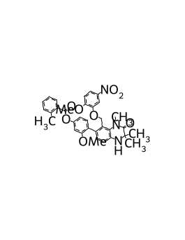 COc1ccc([N+](=O)[O-])cc1OCc1c(-c2ccc(OC(=O)c3ccccc3C)cc2OC)ccc2c1N(C)C(=O)C(C)(C)N2